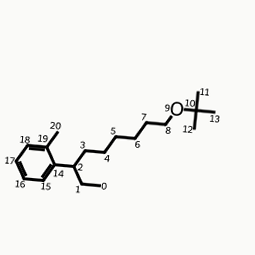 CCC(CCCCCCOC(C)(C)C)c1ccccc1C